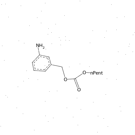 CCCCCOC(=O)OCc1cccc(N)c1